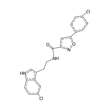 O=C(NCCc1c[nH]c2ccc(Cl)cc12)c1cc(-c2ccc(Cl)cc2)on1